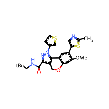 COc1cc2c(cc1-c1cnc(C)s1)-c1c(c(C(=O)NCC(C)(C)C)nn1-c1ccsc1)CO2